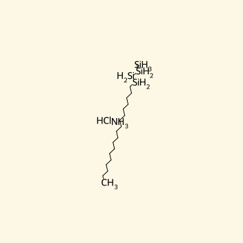 CCCCCCCCCCCCCCCCCC[SiH2][SiH2][SiH2][SiH3].Cl.N